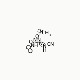 CN1CCC[C@H]1COc1nc(C(=O)Nc2cccc3ccccc23)cc(N2CCN[C@@H](CC#N)C2)n1